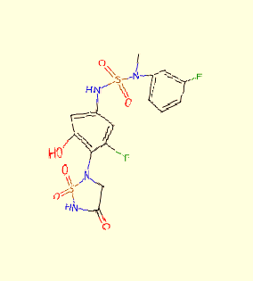 CN(c1cccc(F)c1)S(=O)(=O)Nc1cc(O)c(N2CC(=O)NS2(=O)=O)c(F)c1